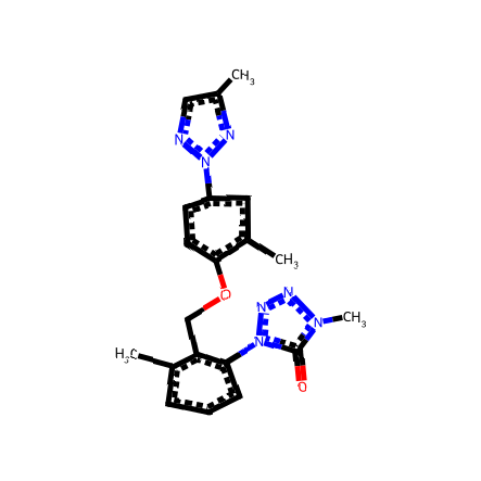 Cc1cnn(-c2ccc(OCc3c(C)cccc3-n3nnn(C)c3=O)c(C)c2)n1